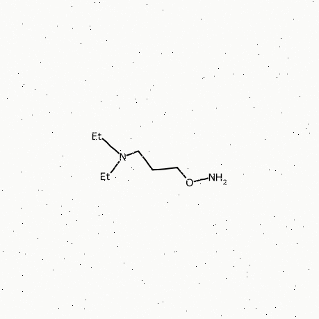 CCN(CC)CCCON